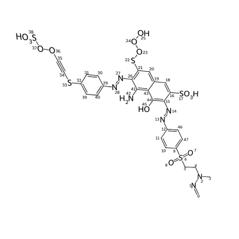 C=NN(C)CCS(=O)(=O)c1ccc(N=Nc2c(S(=O)(=O)O)cc3cc(SOOO)c(N=Nc4ccc(SC#COOS(=O)(=O)O)cc4)c(N)c3c2O)cc1